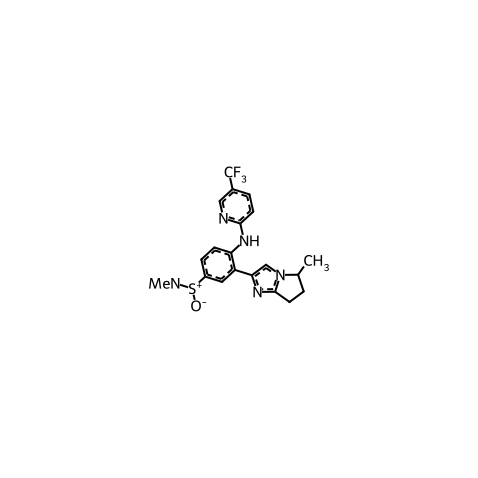 CN[S+]([O-])c1ccc(Nc2ccc(C(F)(F)F)cn2)c(-c2cn3c(n2)CCC3C)c1